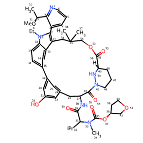 CCn1c(-c2cccnc2[C@H](C)OC)c2c3cc(ccc31)-c1cc(O)cc(c1)C[C@H](NC(=O)C(C(C)C)N(C)C(=O)O[C@H]1CCOC1)C(=O)N1CCC[C@H](N1)C(=O)OCC(C)(C)C2